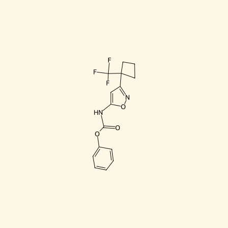 O=C(Nc1cc(C2(C(F)(F)F)CCC2)no1)Oc1ccccc1